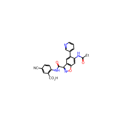 CCC(=O)Nc1cc2onc(C(=O)Nc3ccc(C#N)cc3C(=O)O)c2cc1-c1cccnc1